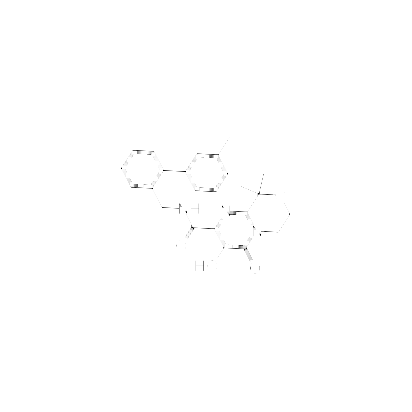 Cc1cccc(-c2ccccc2CNC(=O)c2nc3n(c(=O)c2O)CCOC3(C)C)c1